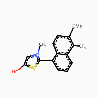 COc1ccc2c(-c3sc(O)c[n+]3C)cccc2c1C(F)(F)F